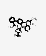 CC(C)CN(c1ccc(-c2ccccc2C(=O)O)cc1Nc1nc(C(F)(F)F)ns1)C1CCOCC1